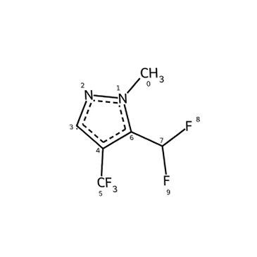 Cn1n[c]c(C(F)(F)F)c1C(F)F